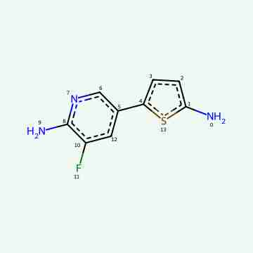 Nc1ccc(-c2cnc(N)c(F)c2)s1